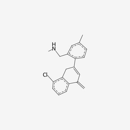 C=C1C=C(c2ccc(C)cc2CNC)Cc2c(Cl)cccc21